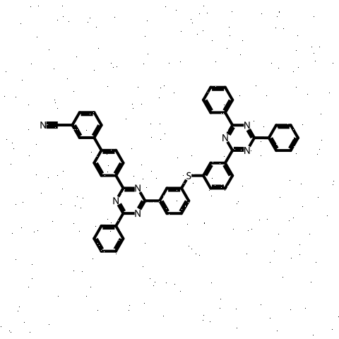 N#Cc1cccc(-c2ccc(-c3nc(-c4ccccc4)nc(-c4cccc(Sc5cccc(-c6nc(-c7ccccc7)nc(-c7ccccc7)n6)c5)c4)n3)cc2)c1